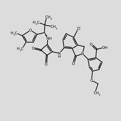 CCOc1ccc(C(=O)O)c(N2Cc3c(Cl)ccc(Nc4c(N[C@@H](c5cc(C)c(C)o5)C(C)(C)C)c(=O)c4=O)c3C2=O)c1